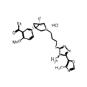 CCC(=O)c1cc([C@]23C[C@H]2CN(CCCSc2nnc(-c4ocnc4C)n2C)C3)ccc1OC.Cl